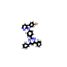 Brc1ccc2c3cccnc3n(-c3ccc(-c4nc(-c5ccccc5)cc(-c5ccccc5)n4)cc3)c2c1